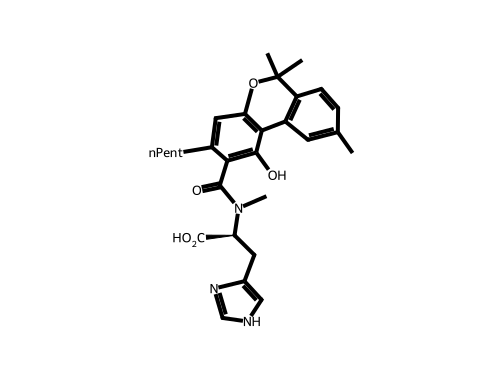 CCCCCc1cc2c(c(O)c1C(=O)N(C)[C@@H](Cc1c[nH]cn1)C(=O)O)-c1cc(C)ccc1C(C)(C)O2